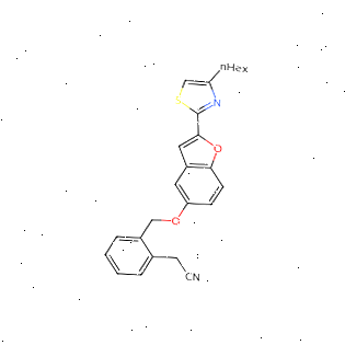 CCCCCCc1csc(-c2cc3cc(OCc4ccccc4CC#N)ccc3o2)n1